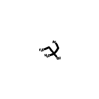 CC(=O)CC(C)(O)CC(F)(F)F